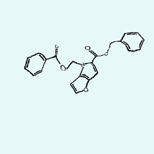 O=C(OCn1c(C(=O)OCc2ccccc2)cc2occc21)c1ccccc1